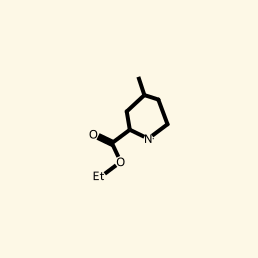 CCOC(=O)C1CC(C)CC[N]1